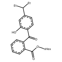 CCCCCCOC(=O)c1ccccc1C(=O)c1ccc(C(CC)CC)cc1O